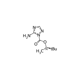 C[C@@H](OC(=O)n1ncnc1N)C(C)(C)C